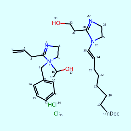 C=CCC1=NCC[N+]1(Cc1ccccc1)C(C)O.CCCCCCCCCCCCCCCC=CN1CCN=C1CCO.Cl.[Cl-]